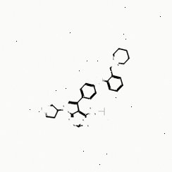 Nc1ncnc2c1c(-c1ccc(Oc3ccccc3CN3CCCCC3)cc1)cn2C1CCOC1